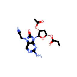 CCC(=O)O[C@H]1C[C@@H](OC(C)=O)[C@H](n2c(=O)n(CC#N)c3cnc(N)nc32)O1